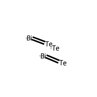 [Te].[Te]=[Bi].[Te]=[Bi]